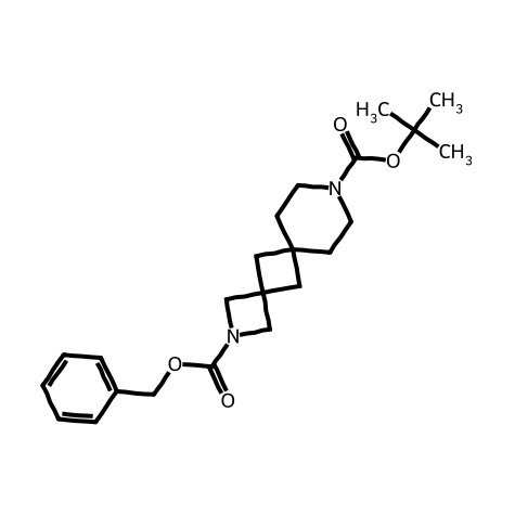 CC(C)(C)OC(=O)N1CCC2(CC1)CC1(CN(C(=O)OCc3ccccc3)C1)C2